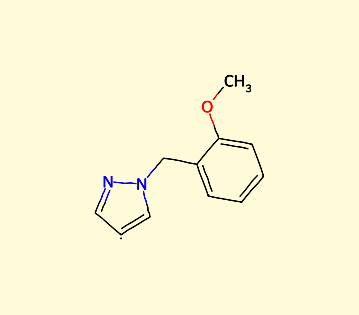 COc1ccccc1Cn1c[c]cn1